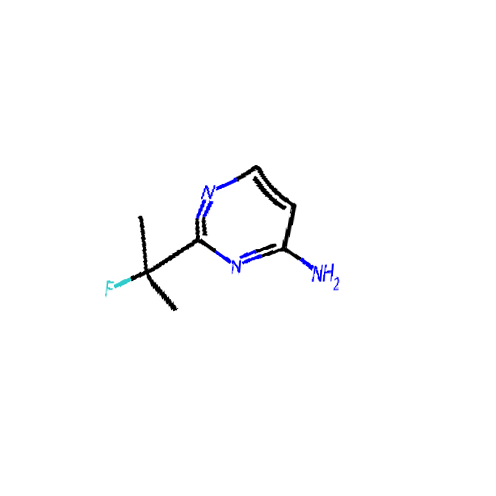 CC(C)(F)c1nccc(N)n1